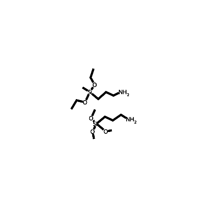 CCO[Si](C)(CCCN)OCC.CO[Si](CCCN)(OC)OC